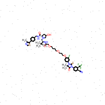 Cc1ncsc1-c1ccc(CNC(=O)[C@@H]2C[C@@H](O)CN2C[C@@H](NC(=O)COCCCCOCCCOc2ccc(N3C(=S)N(c4ccc(C#N)c(C(F)(F)F)c4)C(=O)C3(C)C)cc2F)C(C)(C)C)cc1